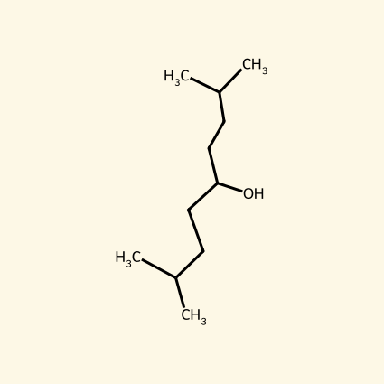 CC(C)CCC(O)CCC(C)C